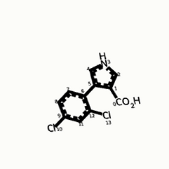 O=C(O)c1c[nH]cc1-c1ccc(Cl)cc1Cl